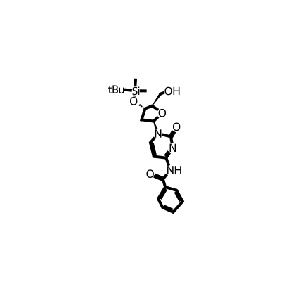 CC(C)(C)[Si](C)(C)O[C@H]1C[C@H](n2ccc(NC(=O)c3ccccc3)nc2=O)O[C@@H]1CO